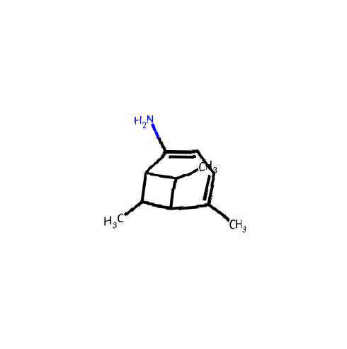 CC1=CC=C(N)C2C(C)C1C2C